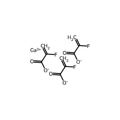 C=C(F)C(=O)[O-].C=C(F)C(=O)[O-].C=C(F)C(=O)[O-].[Ga+3]